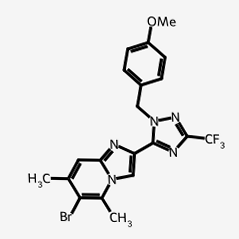 COc1ccc(Cn2nc(C(F)(F)F)nc2-c2cn3c(C)c(Br)c(C)cc3n2)cc1